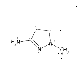 CN1CCC(N)=N1